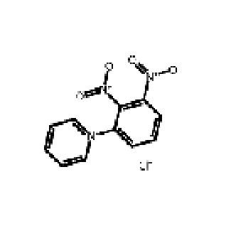 O=[N+]([O-])c1cccc(-[n+]2ccccc2)c1[N+](=O)[O-].[Cl-]